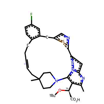 Cc1nc2cc3nn2c(c1[C@H](OC(C)(C)C)C(=O)O)N1CCC(C)(C/C=C/CCc2ccc(F)cc2Cc2cnc-3s2)CC1